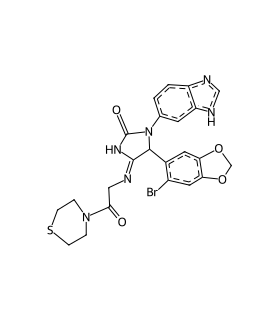 O=C(CN=C1NC(=O)N(c2ccc3nc[nH]c3c2)C1c1cc2c(cc1Br)OCO2)N1CCSCC1